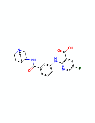 O=C(NC1CN2CCC1CC2)c1cccc(Nc2ncc(F)cc2C(=O)O)c1